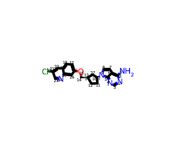 Nc1ncnc2c1ccn2[C@H]1CC[C@@H](COc2ccc3cc(Cl)cnc3c2)C1